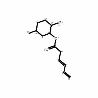 C=CC=CCC(=O)OC1CC(C)CCC1C(C)C